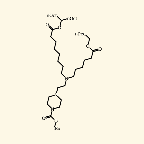 CCCCCCCCCCCOC(=O)CCCCCN(CCCCCCCC(=O)OC(CCCCCCCC)CCCCCCCC)CCN1CCN(C(=O)OC(C)(C)C)CC1